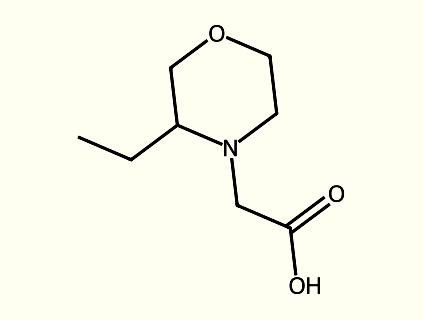 CCC1COCCN1CC(=O)O